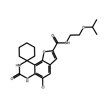 CC(C)OCCNC(=O)c1cc2cc(Cl)c3c(c2o1)C1(CCCCC1)NC(=O)N3